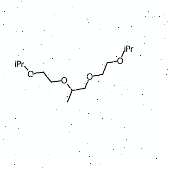 CC(C)OCCOCC(C)OCCOC(C)C